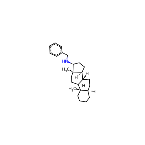 C[C@]12CCCC[C@@H]1CC[C@@H]1[C@@H]2CC[C@]2(C)[C@@H](NCc3ccccc3)CC[C@@H]12